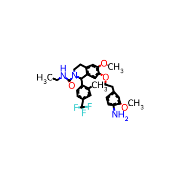 CCNC(=O)N1CCc2cc(OC)c(OCCc3ccc(N)c(OC)c3)cc2C1c1ccc(C(F)(F)F)cc1C